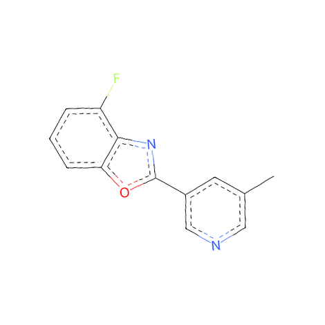 Cc1cncc(-c2nc3c(F)cccc3o2)c1